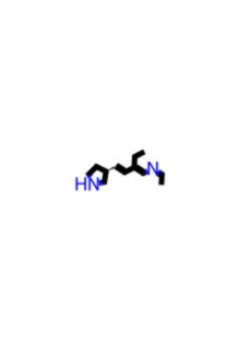 C\C=N/C=C(/C=C/[C@H]1CCNC1)CC